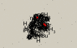 CCCCNCC(=O)N(C)[C@@H](Cc1ccccc1)C(=O)N(C)[C@@H](CC(C)C)C(=O)N[C@@H](CC(C)C)C(=O)N(C)[C@@H](CC(C)C)C(=O)N[C@H](C(=O)N1CCCCC1)C(=O)N(CCCC)CC(=O)N(C)[C@@H](Cc1ccccc1)C(=O)N[C@@H](CCC(=O)NS(C)(=O)=O)C(=O)N(C)[C@@H](CC(C)C)C(=O)NC1([C@@H](C)O)CC1=O